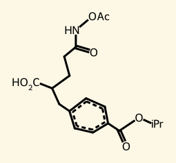 CC(=O)ONC(=O)CCC(Cc1ccc(C(=O)OC(C)C)cc1)C(=O)O